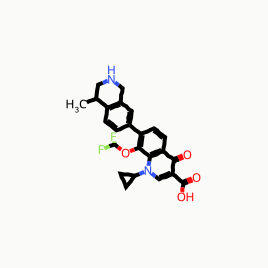 CC1CNCc2cc(-c3ccc4c(=O)c(C(=O)O)cn(C5CC5)c4c3OC(F)F)ccc21